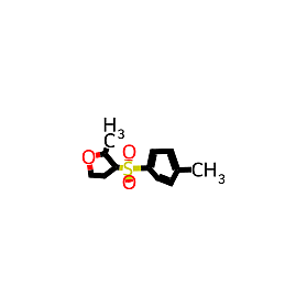 Cc1ccc(S(=O)(=O)C2CCOC2C)cc1